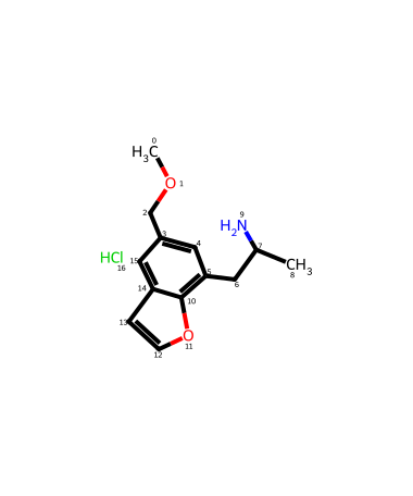 COCc1cc(CC(C)N)c2occc2c1.Cl